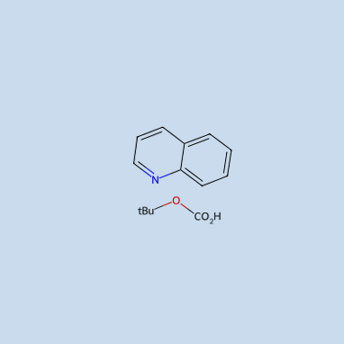 CC(C)(C)OC(=O)O.c1ccc2ncccc2c1